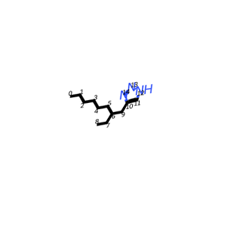 CCCCCCC(CC)Cc1c[nH]nn1